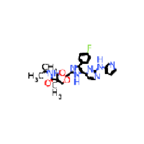 CC(C)NC(=O)C1(C)COC(c2nc(-c3ccc(F)cc3)c(-c3ccnc(Nc4cccnc4)n3)[nH]2)OC1